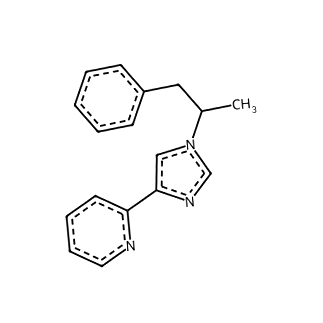 CC(Cc1ccccc1)n1cnc(-c2ccccn2)c1